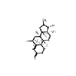 CC(=O)[C@H]1C(C)C[C@H]2[C@@H]3CC(F)C4=CC(=O)CC[C@]4(C)[C@H]3CC[C@]12C